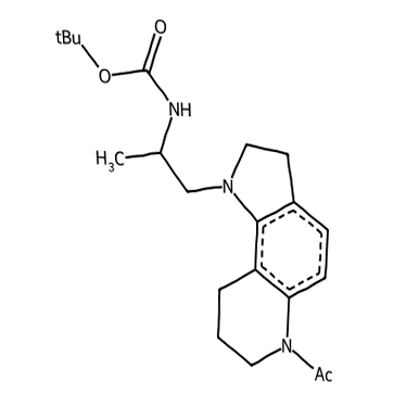 CC(=O)N1CCCc2c1ccc1c2N(CC(C)NC(=O)OC(C)(C)C)CC1